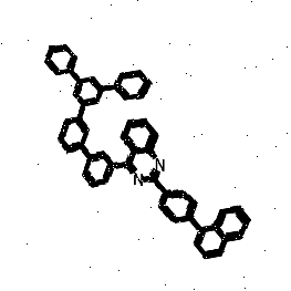 c1ccc(-c2cc(-c3ccccc3)cc(-c3cccc(-c4cccc(-c5nc(-c6ccc(-c7cccc8ccccc78)cc6)nc6ccccc56)c4)c3)c2)cc1